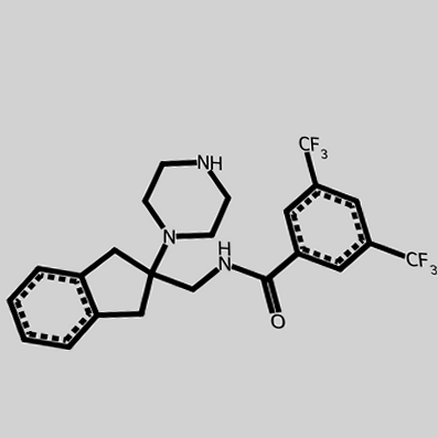 O=C(NCC1(N2CCNCC2)Cc2ccccc2C1)c1cc(C(F)(F)F)cc(C(F)(F)F)c1